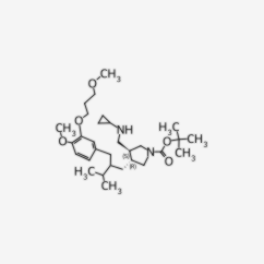 COCCCOc1cc(CC(C[C@H]2CN(C(=O)OC(C)(C)C)C[C@@H]2CNC2CC2)C(C)C)ccc1OC